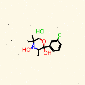 CC1N(O)C(C)(C)COC1(O)c1cccc(Cl)c1.Cl